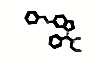 CNC[C@@H](O)[C@H](c1ccccc1)n1ccc2ccc(OCc3ccccc3)cc21